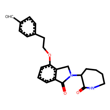 O=Cc1ccc(CCOc2cccc3c2CN(C2CCCCNC2=O)C3=O)cc1